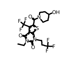 CCn1c(=O)c2c(C(F)(F)F)c(C(=O)N3CCC(O)CC3)sc2n(CCC(F)(F)F)c1=O